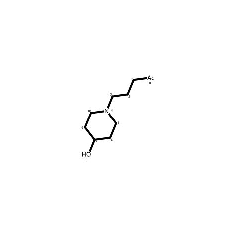 CC(=O)CCCN1CCC(O)CC1